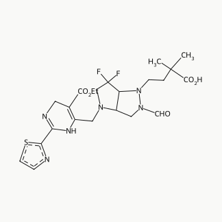 CCOC(=O)C1=C(CN2CC(F)(F)C3C2CN(C=O)N3CCC(C)(C)C(=O)O)NC(c2nccs2)=NC1